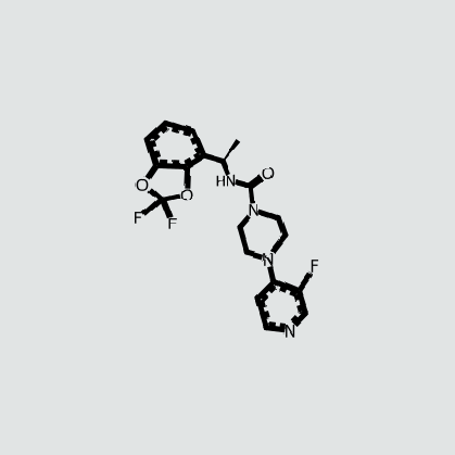 C[C@@H](NC(=O)N1CCN(c2ccncc2F)CC1)c1cccc2c1OC(F)(F)O2